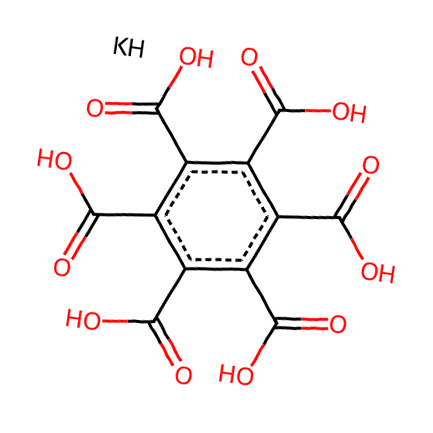 O=C(O)c1c(C(=O)O)c(C(=O)O)c(C(=O)O)c(C(=O)O)c1C(=O)O.[KH]